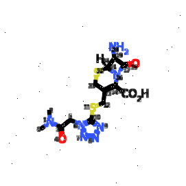 CN(C)C(=O)Cn1nnnc1SCC1=C(C(=O)O)N2C(=O)C(N)[C@@H]2SC1